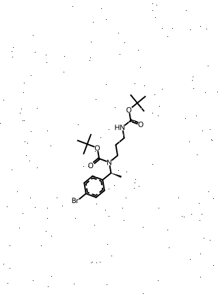 C[C@@H](c1ccc(Br)cc1)N(CCCNC(=O)OC(C)(C)C)C(=O)OC(C)(C)C